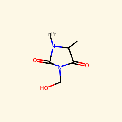 CCCN1C(=O)N(CO)C(=O)C1C